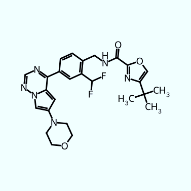 CC(C)(C)c1coc(C(=O)NCc2ccc(-c3ncnn4cc(N5CCOCC5)cc34)cc2C(F)F)n1